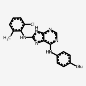 Cc1cccc(Cl)c1Nc1nc2c(Nc3ccc(C(C)(C)C)cc3)ncnc2[nH]1